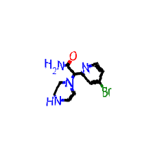 NC(=O)C(c1cc(Br)ccn1)N1CCNCC1